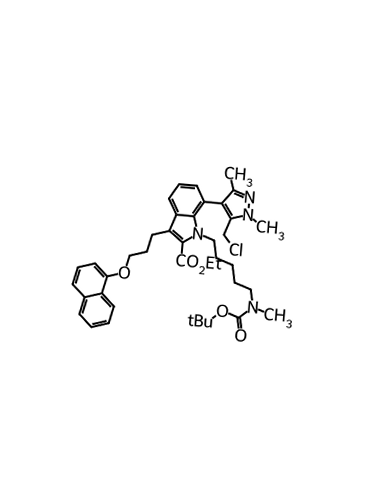 CCOC(=O)c1c(CCCOc2cccc3ccccc23)c2cccc(-c3c(C)nn(C)c3CCl)c2n1CCCCCN(C)C(=O)OC(C)(C)C